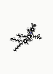 C=CC(=O)OCCOC1=CC(Nc2ccc(N(CCCCCCCC)CCCCCCCC)cc2C)C(OCCOC(=O)C=C)C=C1/N=N/c1ccc([N+](=O)[O-])cc1[N+](=O)[O-]